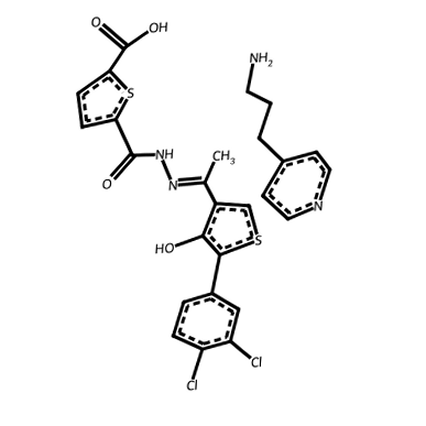 CC(=NNC(=O)c1ccc(C(=O)O)s1)c1csc(-c2ccc(Cl)c(Cl)c2)c1O.NCCCc1ccncc1